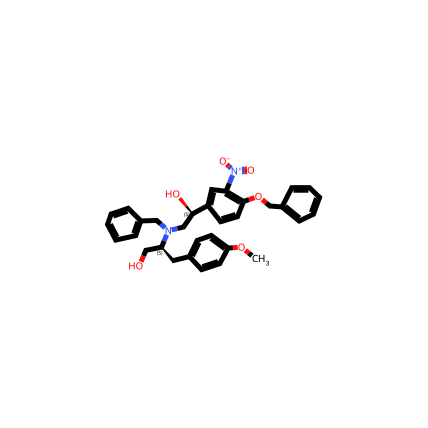 COc1ccc(C[C@@H](CO)N(Cc2ccccc2)C[C@@H](O)c2ccc(OCc3ccccc3)c([N+](=O)[O-])c2)cc1